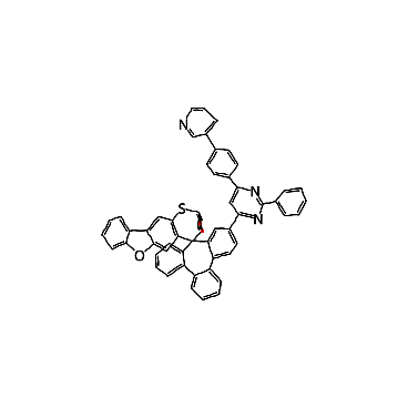 c1ccc(-c2nc(-c3ccc(-c4cccnc4)cc3)cc(-c3ccc4c(c3)C3(c5ccccc5Sc5cc6c(cc53)oc3ccccc36)c3ccccc3-c3ccccc3-4)n2)cc1